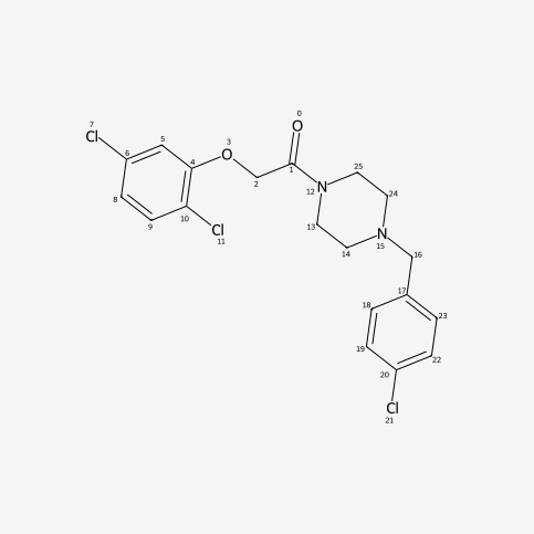 O=C(COc1cc(Cl)ccc1Cl)N1CCN(Cc2ccc(Cl)cc2)CC1